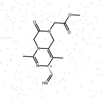 COC(=O)CN1CC2=C(C)[C@H](C=N)N=C(C)N2CC1=O